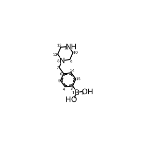 OB(O)c1ccc(CN2CCNCC2)cc1